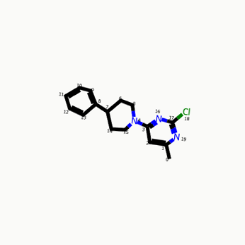 Cc1cc(N2CCC(c3ccccc3)CC2)nc(Cl)n1